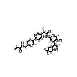 C=CC(=O)NCc1ccc(-c2ccc([C@H](C)C(=O)Nc3cc(-c4cnn5c4CC(C)(C)C5)c(Cl)cn3)cn2)cn1